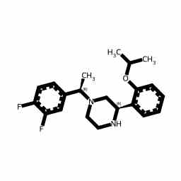 CC(C)Oc1ccccc1[C@@H]1CN([C@H](C)c2ccc(F)c(F)c2)CCN1